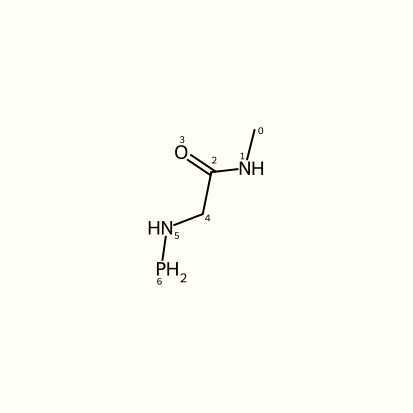 CNC(=O)CNP